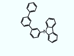 c1ccc(-c2cccc(-c3cccc(-n4c5ccccc5c5ccccc54)c3)c2)cc1